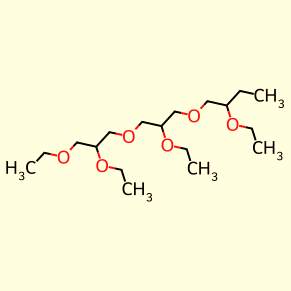 CCOCC(COCC(COCC(CC)OCC)OCC)OCC